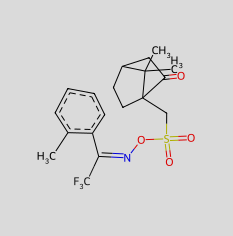 Cc1ccccc1C(=NOS(=O)(=O)CC12CCC(CC1=O)C2(C)C)C(F)(F)F